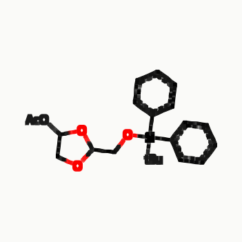 CC(=O)OC1COC(CO[Si](c2ccccc2)(c2ccccc2)C(C)(C)C)O1